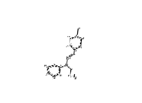 C[n+]1ccc(C=NN(CN)c2ccccc2)cc1